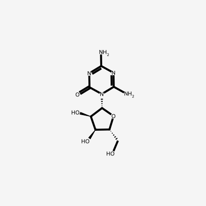 Nc1nc(N)n([C@@H]2O[C@H](CO)[C@@H](O)[C@H]2O)c(=O)n1